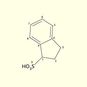 O=S(=O)(O)C1CCc2ccccc21